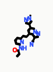 C=CC(=O)Nc1cccc(/C=C/c2cc(-c3cnn(C)c3)cn3ncc(C#N)c23)n1